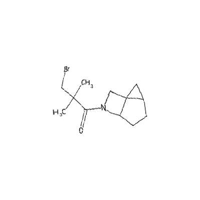 CC(C)(CBr)C(=O)N1CC23CC2CCC13